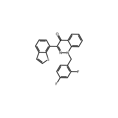 O=c1c(-c2cccc3ccsc23)nn(Cc2ccc(F)cc2F)c2ccccc12